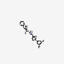 Fc1cc(F)cc(-c2ccc(/C=N/NC(=S)NCc3ccccn3)o2)c1